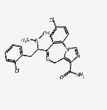 CN(C)C(Cc1ccccc1Cl)C1=NCc2c(C(N)=O)ncn2-c2ccc(Cl)cc21